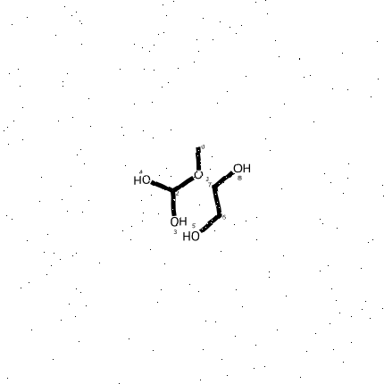 COC(O)O.OCCO